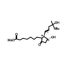 CCCCC(C)(O)C/C=C/[C@@H]1C(CCCCCCC(=O)OC)C(=O)C[C@H]1O